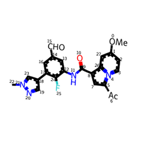 COc1ccn2c(C(C)=O)cc(C(=O)Nc3cc(C=O)cc(-c4cnn(C)c4)c3F)c2c1